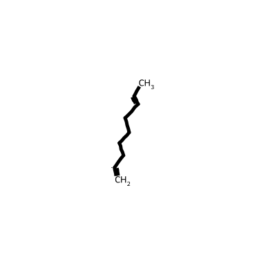 C=[C]CCCCC=CC